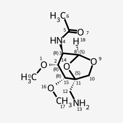 CO[C@@H]1[C@@H](NC(C)=O)[C@H]2OC[C@](CN)(O2)[C@@H]1OC